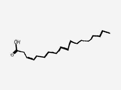 CCCCCCCCCCCCCC/C=C\CC(=O)O